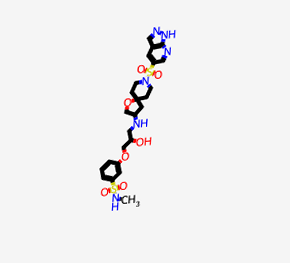 CNS(=O)(=O)c1cccc(OCC(O)CNC2COC3(CCN(S(=O)(=O)c4cnc5[nH]ncc5c4)CC3)C2)c1